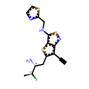 C#Cc1c(C[C@@H](N)[C@H](C)F)sc2c(NCc3nccs3)snc12